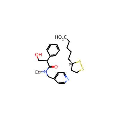 CCN(Cc1ccncc1)C(=O)C(CO)c1ccccc1.O=C(O)CCCC[C@@H]1CCSS1